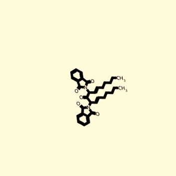 CCCCCC=CC(C(=O)C(C=CCCCCC)N1C(=O)c2ccccc2C1=O)N1C(=O)c2ccccc2C1=O